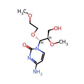 COCCO[C@H]([C@@H](CO)OC)n1ccc(N)nc1=O